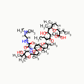 CCC(C(=O)[C@@H](C)[C@@H](O)[C@H](C)[C@@H]1O[C@@H]([C@@H](CC)C(=O)O)CC[C@@H]1C)[C@H]1O[C@]2(C=C[C@@H](NC(=O)C(=O)NCCN(C)C)[C@]3(CC[C@@](C)([C@H]4CC[C@](O)(CC)[C@H](C)O4)O3)O2)[C@H](C)C[C@@H]1C